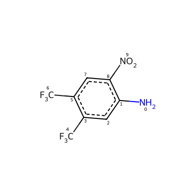 Nc1cc(C(F)(F)F)c(C(F)(F)F)cc1[N+](=O)[O-]